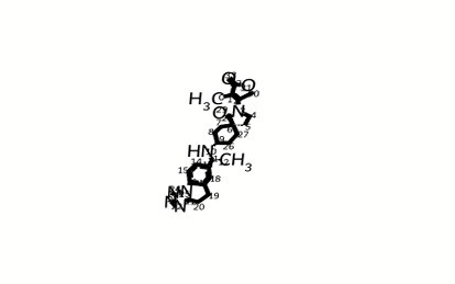 CC1=C(N2CC[C@]3(CC[C@H](N[C@H](C)c4ccc5c(c4)CCc4nnnn4-5)CC3)C2=O)COC1=O